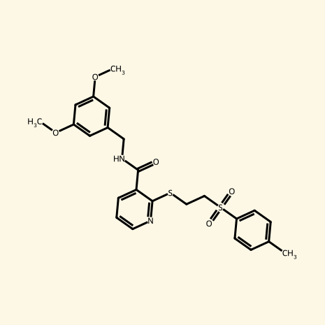 COc1cc(CNC(=O)c2cccnc2SCCS(=O)(=O)c2ccc(C)cc2)cc(OC)c1